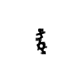 CCc1ccc(NCC(C)(C)O)nc1